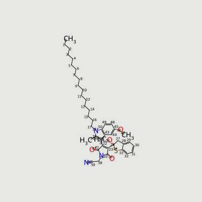 CCCCCCCCCCCCCCCCCCn1c(C)c(C2=C(C3(OC)Cc4ccccc4S3)C(=O)N(CC#N)C2=O)c2cc(OC)ccc21